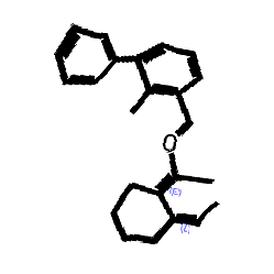 C/C=C1/CCCC/C1=C(/C)OCc1cccc(-c2ccccc2)c1C